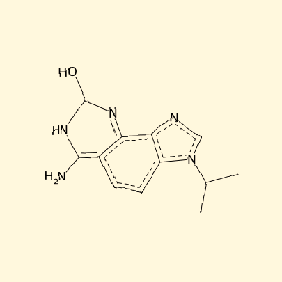 CC(C)n1cnc2c3c(ccc21)=C(N)NC(O)N=3